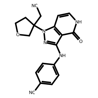 N#CCC1(n2nc(Nc3ccc(C#N)cc3)c3c(=O)[nH]ccc32)CCOC1